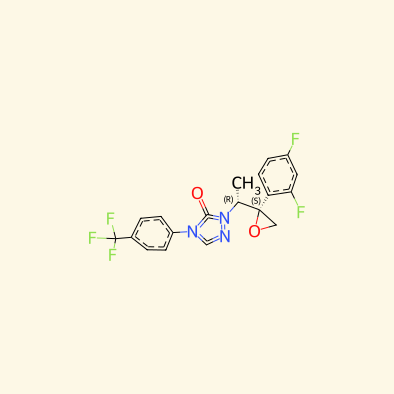 C[C@@H](n1ncn(-c2ccc(C(F)(F)F)cc2)c1=O)[C@@]1(c2ccc(F)cc2F)CO1